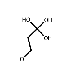 [O]CCC(O)(O)O